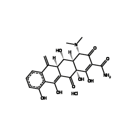 C=C1c2cccc(O)c2C(O)=C2C(=O)[C@]3(O)C(O)=C(C(N)=O)C(=O)[C@@H](N(C)C)[C@@H]3[C@@H](O)[C@H]12.Cl